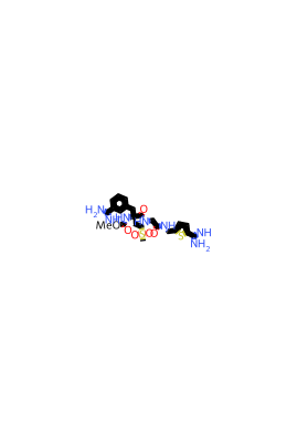 COC(=O)N[C@](CCS(C)(=O)=O)(Cc1cccc(C(=N)N)c1)C(=O)NCC(=O)NCc1ccc(C(=N)N)s1